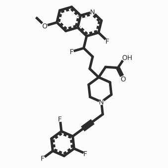 COc1ccc2ncc(F)c(C(F)CCC3(CC(=O)O)CCN(CC#Cc4c(F)cc(F)cc4F)CC3)c2c1